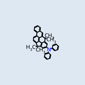 CC1(C)c2cc(N(c3ccccc3)c3ccccc3)cc3c2-c2c1ccc1c2c(cc2ccccc21)C3(C)C